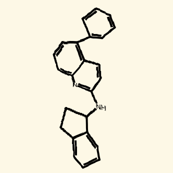 c1ccc(-c2cccc3nc(NC4CCc5ccccc54)ccc23)cc1